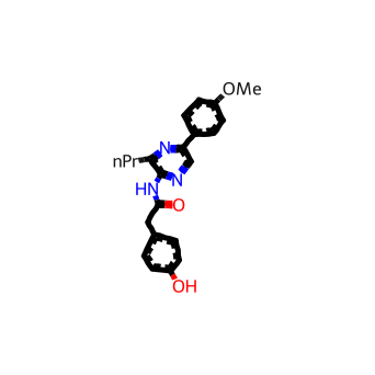 CCCc1nc(-c2ccc(OC)cc2)cnc1NC(=O)Cc1ccc(O)cc1